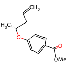 C=CC[C@@H](C)Oc1ccc(C(=O)OC)cc1